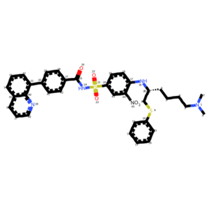 CN(C)CCCC[C@H](CSc1ccccc1)Nc1ccc(S(=O)(=O)NC(=O)c2ccc(-c3cccc4cccnc34)cc2)cc1[N+](=O)[O-]